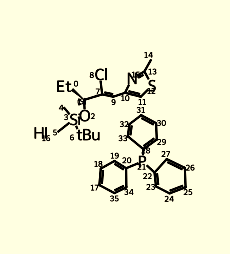 CC[C@H](O[Si](C)(C)C(C)(C)C)C(Cl)=Cc1csc(C)n1.I.c1ccc(P(c2ccccc2)c2ccccc2)cc1